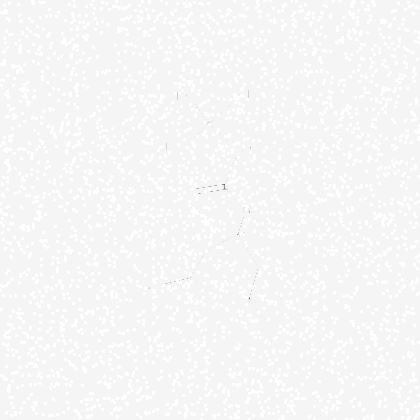 CC(C)(C)OC(=O)NC(CCF)CCF